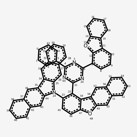 c1ccc(-c2nc(-c3cccc4c3oc3ccccc34)nc(-c3c(-n4c5cc6ccccc6cc5c5cc6ccccc6cc54)ccc4oc5cc6ccccc6cc5c34)n2)cc1